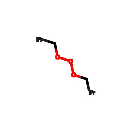 CC(C)COOOCC(C)C